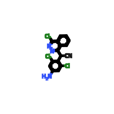 N#CC(c1c(Cl)cc(N)cc1Cl)c1nnc(Cl)c2ccccc12